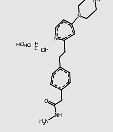 Cl.Cl.Cl.Cl.NNC(=O)Cc1ccc(CCc2cc(N3CCNCC3)ccn2)cc1